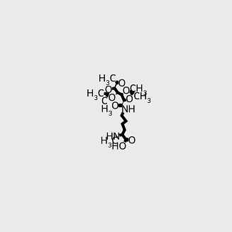 CNC(CCCCNC(=O)[C@H]1OC(C)(C)O[C@@H]1[C@@H]1OC(C)(C)O[C@H]1C(C)=O)C(=O)O